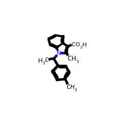 Cc1ccc(C(C)n2c(C)c(C(=O)O)c3ccccc32)cc1